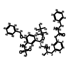 C[C@H](Cc1cccc(CC(=O)NCc2ccccc2)c1)NC[C@@H](O[Si](C)(C)C(C)(C)C)c1ccc(OCc2ccccc2)c(NS(C)(=O)=O)c1